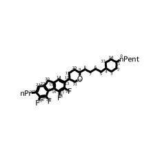 CCCCCC1CCC(CCCCC2CCC(c3cc4c(c(F)c3F)-c3c(cc(CCC)c(F)c3F)C4)CO2)CC1